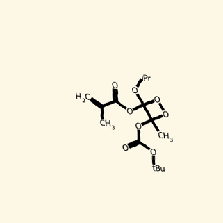 C=C(C)C(=O)OC1(OC(C)C)OOC1(C)OC(=O)OC(C)(C)C